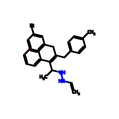 C=CNNC(C)/C(=C(\Cc1ccc(C)cc1)Cc1cccc(CC)c1)c1ccccc1